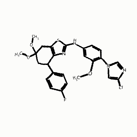 COc1cc(Nc2nc3c(s2)CC(OC)(OC)CC3c2ccc(F)cc2)ccc1-n1cnc(Cl)c1